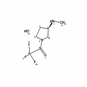 CN[C@@H]1CCN(C(=O)C(F)(F)F)C1.Cl